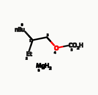 CCCCC(CC)COC(=O)O.[MgH2]